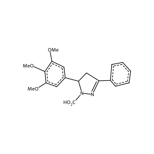 COc1cc(C2CC(c3ccccc3)=NN2C(=O)O)cc(OC)c1OC